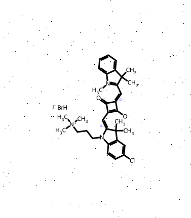 Br.C[N+]1=C(/C=C2\C(=O)C(/C=C3/N(CCC[N+](C)(C)C)c4ccc(Cl)cc4C3(C)C)=C2[O-])C(C)(C)c2ccccc21.[I-]